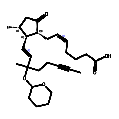 CC#CCCC(C)(/C=C/[C@H]1[C@H](C)CC(=O)[C@@H]1C/C=C\CCCC(=O)O)OC1CCCCO1